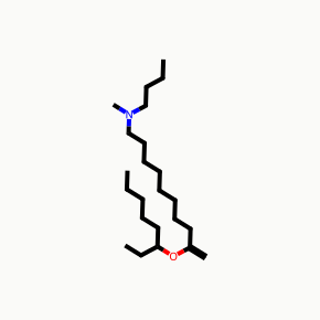 C=C(CCCCCCCCN(C)CCCC)OC(CC)CCCCC